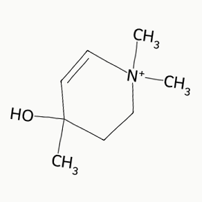 CC1(O)C=C[N+](C)(C)CC1